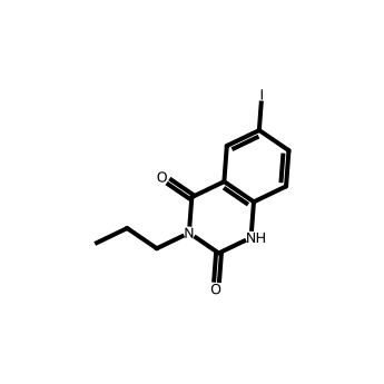 CCCn1c(=O)[nH]c2ccc(I)cc2c1=O